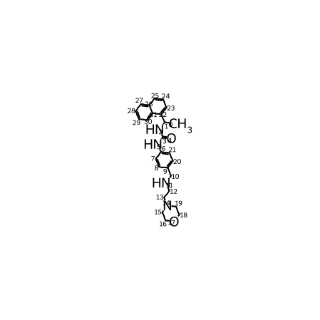 CC(NC(=O)Nc1ccc(CNCCN2CCOCC2)cc1)c1cccc2ccccc12